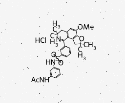 COc1cc2c(c3c1OC(C)(C)C3)C(c1cccc(S(=O)(=O)Nc3cccc(NC(C)=O)c3)c1)=NC(C)(C)C2.Cl